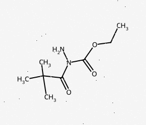 CCOC(=O)N(N)C(=O)C(C)(C)C